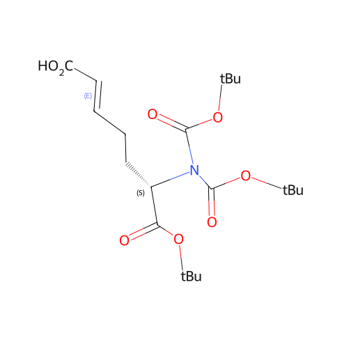 CC(C)(C)OC(=O)[C@H](CC/C=C/C(=O)O)N(C(=O)OC(C)(C)C)C(=O)OC(C)(C)C